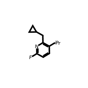 CC(C)c1ccc(F)nc1CC1CC1